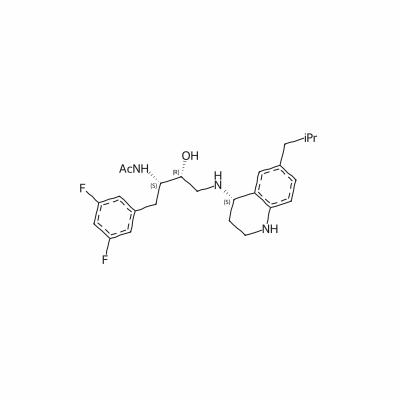 CC(=O)N[C@@H](Cc1cc(F)cc(F)c1)[C@H](O)CN[C@H]1CCNc2ccc(CC(C)C)cc21